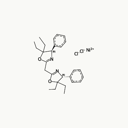 CCC1(CC)OC(CC2=N[C@H](c3ccccc3)C(CC)(CC)O2)=N[C@@H]1c1ccccc1.[Cl-].[Cl-].[Ni+2]